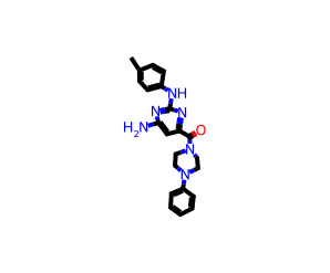 Cc1ccc(Nc2nc(N)cc(C(=O)N3CCN(c4ccccc4)CC3)n2)cc1